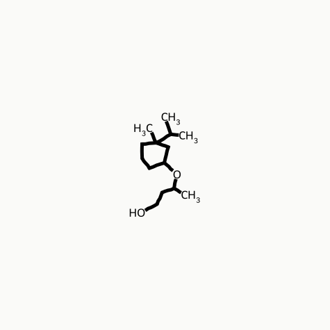 CC(CCO)OC1CCCC(C)(C(C)C)C1